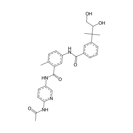 CC(=O)Nc1ccc(NC(=O)c2cc(NC(=O)c3cccc(C(C)(C)C(O)CO)c3)ccc2C)cn1